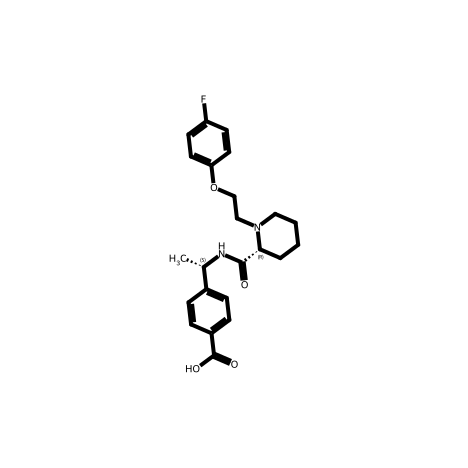 C[C@H](NC(=O)[C@H]1CCCCN1CCOc1ccc(F)cc1)c1ccc(C(=O)O)cc1